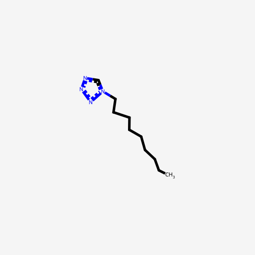 CCCCCCCCCn1cnnn1